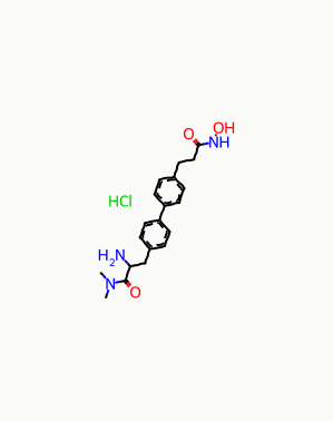 CN(C)C(=O)C(N)Cc1ccc(-c2ccc(CCC(=O)NO)cc2)cc1.Cl